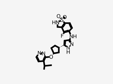 CC(C)c1ccnnc1O[C@@H]1CC[C@H](c2cc(Nc3ccc4c(c3F)CNS4(=O)=O)n[nH]2)C1